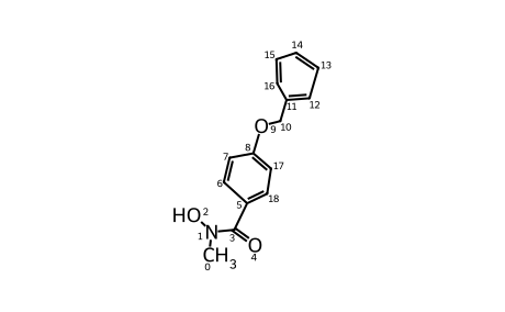 CN(O)C(=O)c1ccc(OCc2ccccc2)cc1